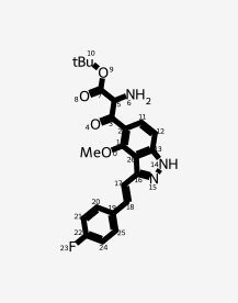 COc1c(C(=O)C(N)C(=O)OC(C)(C)C)ccc2[nH]nc(/C=C/c3ccc(F)cc3)c12